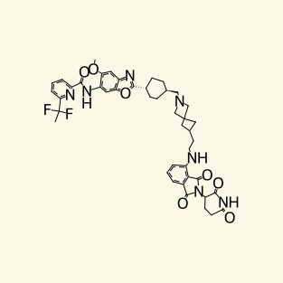 COc1cc2nc([C@H]3CC[C@H](CN4CC5(CC(CCNc6cccc7c6C(=O)N(C6CCC(=O)NC6=O)C7=O)C5)C4)CC3)oc2cc1NC(=O)c1cccc(C(C)(F)F)n1